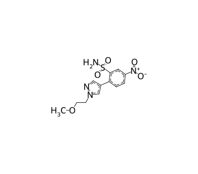 COCCn1cc(-c2ccc([N+](=O)[O-])cc2S(N)(=O)=O)cn1